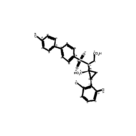 O=C(O)CN([C@]1(C(=O)O)C[C@H]1c1c(Cl)cccc1Cl)S(=O)(=O)c1ccc(-c2ccc(Cl)cc2)cc1